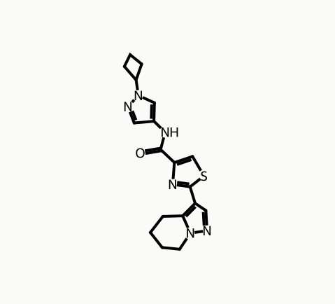 O=C(Nc1cnn(C2CCC2)c1)c1csc(-c2cnn3c2CCCC3)n1